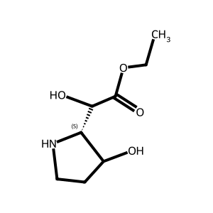 CCOC(=O)C(O)[C@H]1NCCC1O